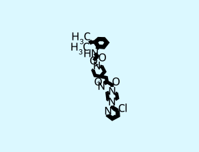 CC(C)c1ccccc1NC(=O)ON1CCC2(CC1)CC(C(=O)N1CCN(c3ncccc3Cl)CC1)=NO2